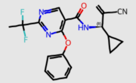 C=C(C#N)[C@H](NC(=O)c1cnc(C(C)(F)F)nc1Oc1ccccc1)C1CC1